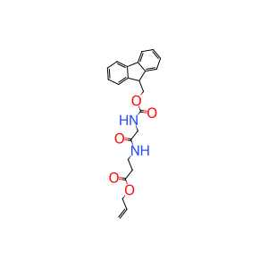 C=CCOC(=O)CCNC(=O)CNC(=O)OCC1c2ccccc2-c2ccccc21